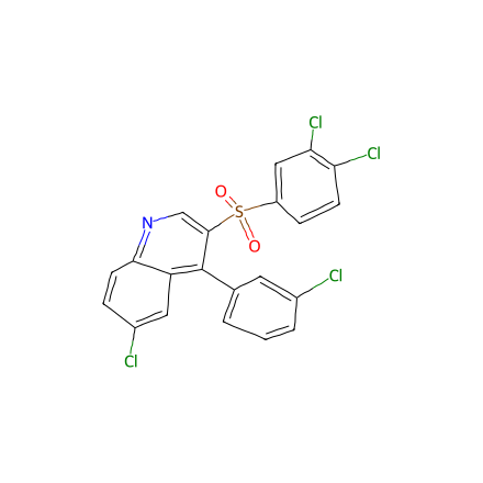 O=S(=O)(c1ccc(Cl)c(Cl)c1)c1cnc2ccc(Cl)cc2c1-c1cccc(Cl)c1